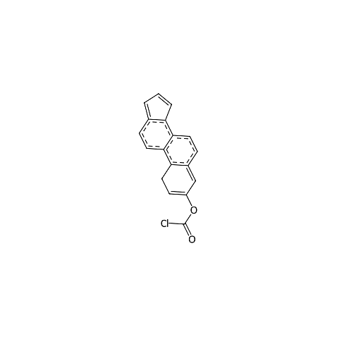 O=C(Cl)OC1=CCc2c(ccc3c4c(ccc23)=CC=C4)=C1